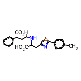 Cc1ccc(-c2nc(CC(NC(CCc3ccccc3)C(=O)O)C(=O)O)cs2)cc1